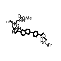 CCCN(C)Cc1ncc(-c2ccc(-c3ccc4cc(-c5cnc(CN(CCC)C(=O)CNC(=O)OC)[nH]5)ccc4c3)cc2)[nH]1